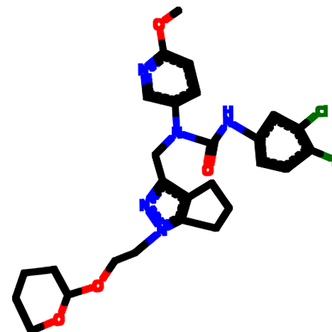 COc1ccc(N(Cc2nn(CCOC3CCCCO3)c3c2CCC3)C(=O)Nc2ccc(F)c(Cl)c2)cn1